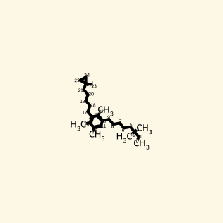 CCC(C)(C)CCCCCc1cc(C)c(C)c(CCCCCC2(I)CC2)c1C